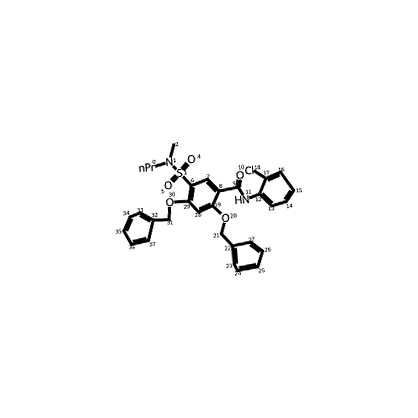 CCCN(C)S(=O)(=O)c1cc(C(=O)Nc2ccccc2Cl)c(OCc2ccccc2)cc1OCc1ccccc1